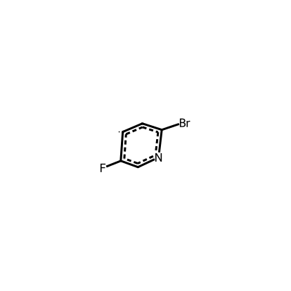 Fc1[c]cc(Br)nc1